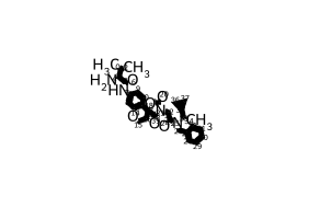 CC(C)[C@@H](N)C(=O)Nc1ccc2c(c1)OCCC21OC(=O)N(CC(=O)N(Cc2ccccc2)[C@@H](C)C2CC2)C1=O